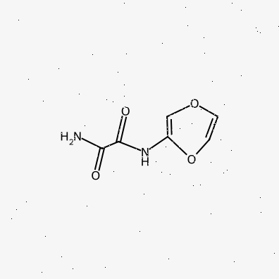 NC(=O)C(=O)NC1=COC=CO1